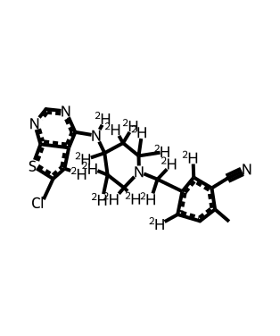 [2H]c1cc(C)c(C#N)c([2H])c1C([2H])([2H])N1C([2H])([2H])C([2H])([2H])C([2H])(N([2H])c2ncnc3sc(Cl)c([2H])c23)C([2H])([2H])C1([2H])[2H]